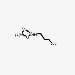 CCCCCCC[SiH]1O[SiH2]O1